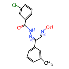 Cc1cccc(C(/C=N/O)=N/NC(=O)c2cccc(Cl)c2)c1